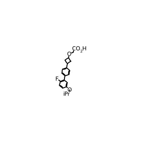 CC(C)Oc1ccc(F)c(-c2ccc(C3CC(OCC(=O)O)C3)cc2)c1